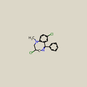 CN1CC(Cl)CN=C(c2ccccc2)c2cc(Cl)ccc21